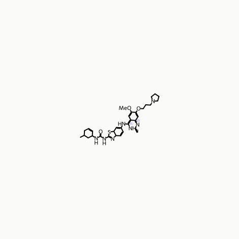 C=C/N=C1/C=C(OCCCN2CCCC2)C(OC)=C/C1=C(/N)NC1=CC2SC(NC(=O)NC3C=CCC(C)C3)=NC2C=C1